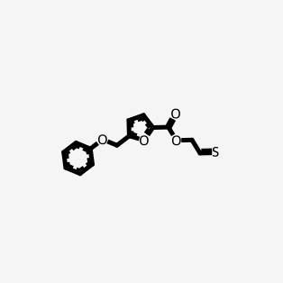 O=C(OCC=S)c1ccc(COc2ccccc2)o1